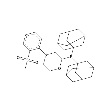 CS(=O)(=O)c1ccccc1N1CCOC(P(C23CC4CC(CC(C4)C2)C3)C23CC4CC(CC(C4)C2)C3)C1